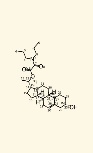 CCCN(CCC)C(=O)C(=O)OC(C)[C@H]1CC[C@H]2[C@@H]3CC=C4C[C@@H](O)CC[C@]4(C)[C@H]3CC[C@]12C